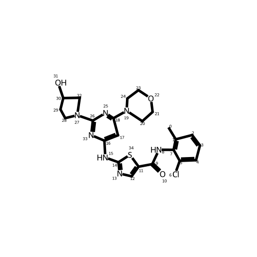 Cc1cccc(Cl)c1NC(=O)c1cnc(Nc2cc(N3CCOCC3)nc(N3CCC(O)C3)n2)s1